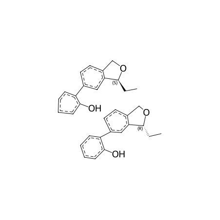 CC[C@@H]1OCc2ccc(-c3ccccc3O)cc21.CC[C@H]1OCc2ccc(-c3ccccc3O)cc21